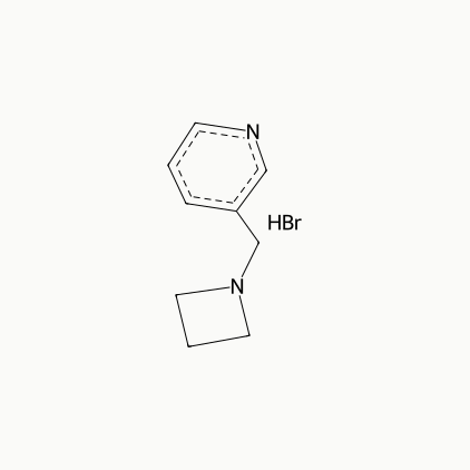 Br.c1cncc(CN2CCC2)c1